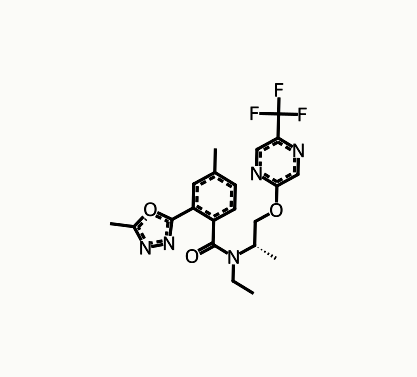 CCN(C(=O)c1ccc(C)cc1-c1nnc(C)o1)[C@@H](C)COc1cnc(C(F)(F)F)cn1